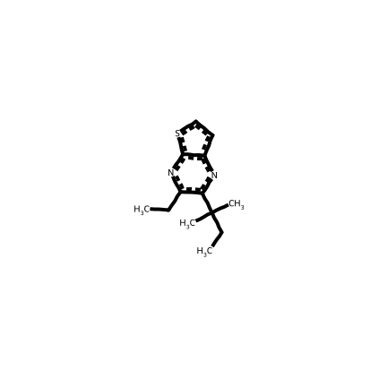 CCc1nc2sccc2nc1C(C)(C)CC